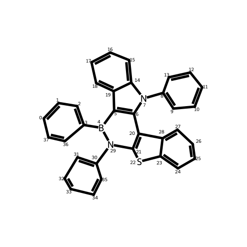 c1ccc(B2c3c(n(-c4ccccc4)c4ccccc34)-c3c(sc4ccccc34)N2c2ccccc2)cc1